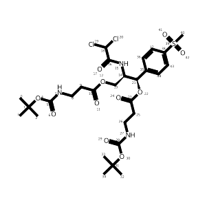 CC(C)(C)OC(=O)NCCC(=O)OC[C@@H](NC(=O)C(Cl)Cl)[C@H](OC(=O)CCNC(=O)OC(C)(C)C)c1ccc(S(C)(=O)=O)cc1